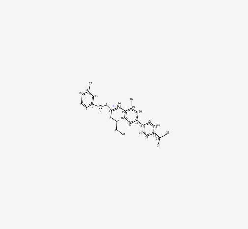 CCCC/C(COc1cccc(C)c1)=N\c1ccc(-c2ccc(C(C)C)nc2)cc1C